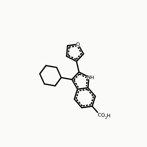 O=C(O)c1ccc2c(C3CCCCC3)c(-c3ccoc3)[nH]c2c1